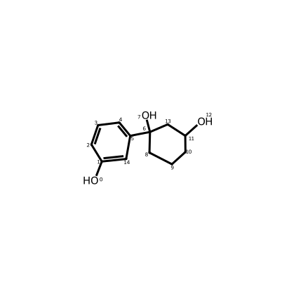 Oc1cccc(C2(O)CCCC(O)C2)c1